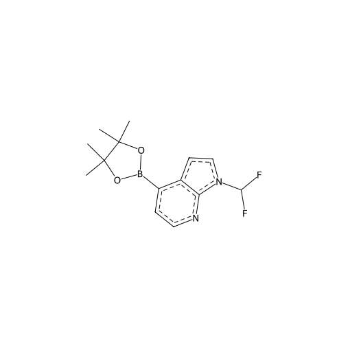 CC1(C)OB(c2ccnc3c2ccn3C(F)F)OC1(C)C